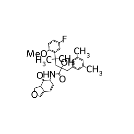 COc1ccc(F)cc1C(C)(C)CC(O)(Cc1cc(C)cc(C)c1)C(=O)NC1C=CC2=COCC2C1=O